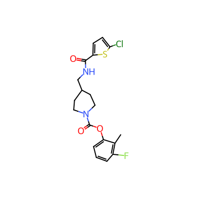 Cc1c(F)cccc1OC(=O)N1CCC(CNC(=O)c2ccc(Cl)s2)CC1